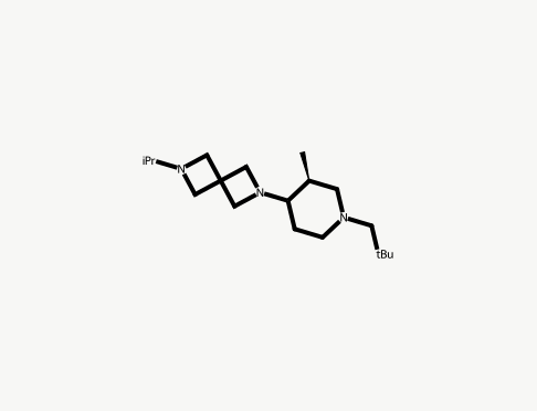 CC(C)N1CC2(C1)CN(C1CCN(CC(C)(C)C)C[C@@H]1C)C2